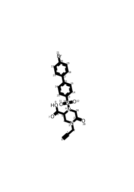 C#CCN1CC(C(=O)O)N(S(=O)(=O)c2ccc(-c3ccc(Br)cc3)cc2)CC1=O